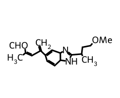 C=C(/C=C(/C)C=O)C1=CC2N=C(C(C)CCOC)NC2C=C1